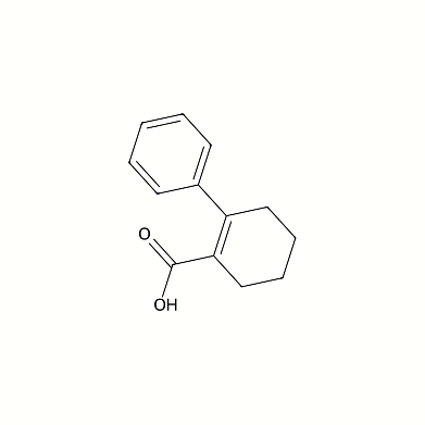 O=C(O)C1=C(c2ccccc2)CCCC1